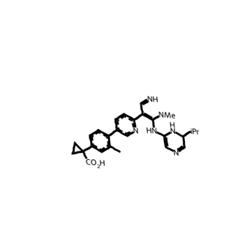 CN/C(NC1=CN=CC(C(C)C)N1)=C(\C=N)c1ccc(-c2ccc(C3(C(=O)O)CC3)cc2C)cn1